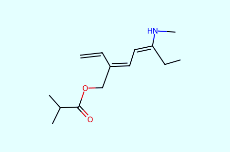 C=C/C(=C\C=C(/CC)NC)COC(=O)C(C)C